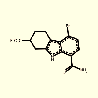 CCOC(=O)C1CCc2c([nH]c3c(C(N)=O)ccc(Br)c23)C1